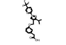 CC(C)c1nn(-c2ccc(C(F)(F)F)cn2)cc1COc1cccc(CC(=O)O)c1